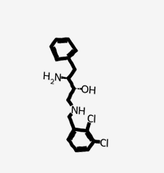 N[C@@H](Cc1ccccc1)[C@H](O)CNCc1cccc(Cl)c1Cl